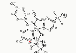 [2H]C([2H])(O)C1(C([2H])([2H])O[C@]2(c3ccc(Cl)cc3)c3ccc(C(C)(C)O)cc3C(=O)N2Cc2ccc(Cl)cc2)CC1